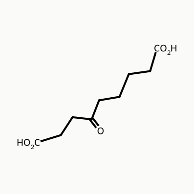 O=C(O)CCCCC(=O)CCC(=O)O